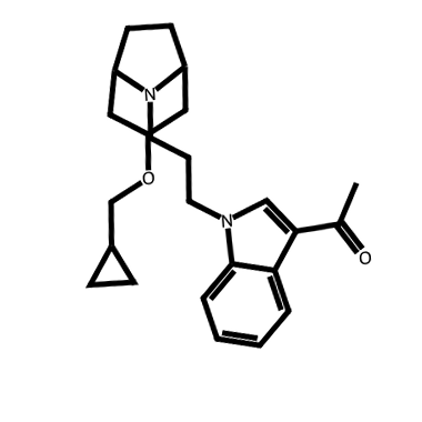 CC(=O)c1cn(CCCN2C3CCC2CC(OCC2CC2)C3)c2ccccc12